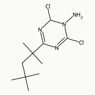 CC(C)(C)CC(C)(C)C1=NC(Cl)N(N)C(Cl)=N1